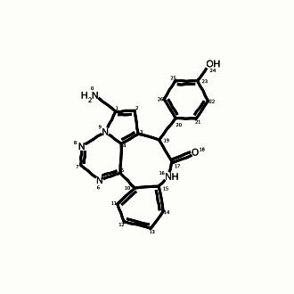 Nc1cc2c3c(ncnn13)-c1ccccc1NC(=O)C2c1ccc(O)cc1